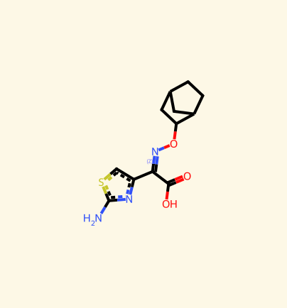 Nc1nc(/C(=N/OC2CC3CCC2C3)C(=O)O)cs1